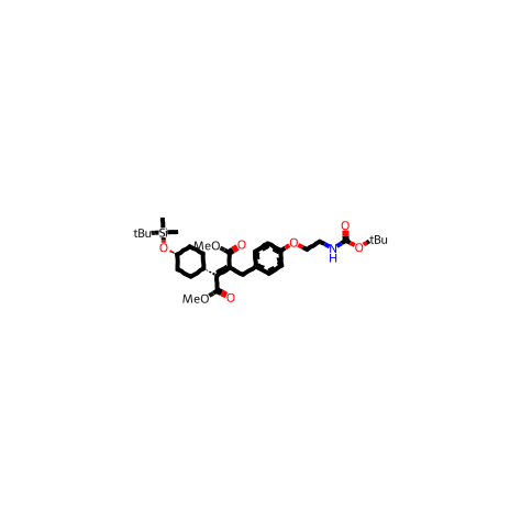 COC(=O)C(Cc1ccc(OCCNC(=O)OC(C)(C)C)cc1)=C(C(=O)OC)[C@H]1CC[C@@H](O[Si](C)(C)C(C)(C)C)CC1